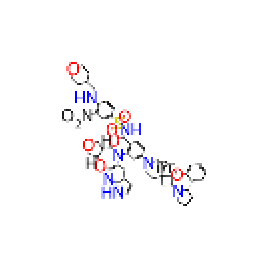 CC(C)Oc1ccccc1[C@@H]1CCCN1C1CC2(CCN(c3ccc(C(=O)NS(=O)(=O)c4ccc(NCC5CCOCC5)c([N+](=O)[O-])c4)c(N4C[C@@H]5COC[C@H]5Oc5nc6[nH]ccc6cc54)c3)CC2)C1